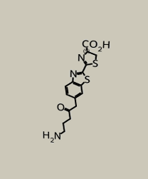 NCCCC(=O)Cc1ccc2nc(C3=N[C@@H](C(=O)O)CS3)sc2c1